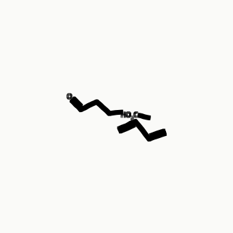 C=CC=C.CC(=O)O.CCCC=O